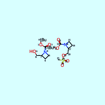 CC(C)(C)OC(=O)N1CCC1CO.CC(C)(C)OC(=O)N1CCC1COS(C)(=O)=O